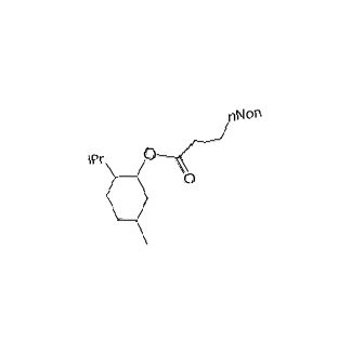 CCCCCCCCCCCC(=O)OC1CC(C)CCC1C(C)C